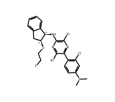 CCc1nc(-c2ccc(N(C)C)cc2Cl)c(CC)nc1N[C@@H]1c2ccccc2C[C@@H]1OCCF